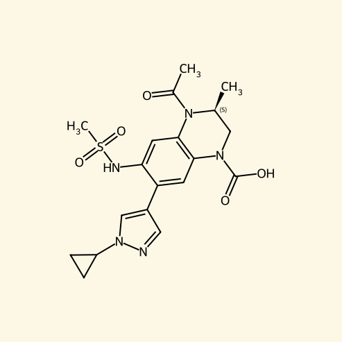 CC(=O)N1c2cc(NS(C)(=O)=O)c(-c3cnn(C4CC4)c3)cc2N(C(=O)O)C[C@@H]1C